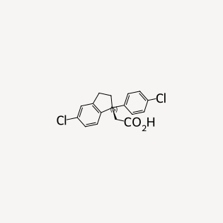 O=C(O)C[C@]1(c2ccc(Cl)cc2)CCc2cc(Cl)ccc21